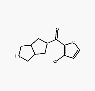 O=C(c1occc1Cl)N1CC2CNCC2C1